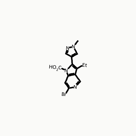 CCc1c(-c2cnn(C)c2)n(C(=O)O)c2cc(Br)ncc12